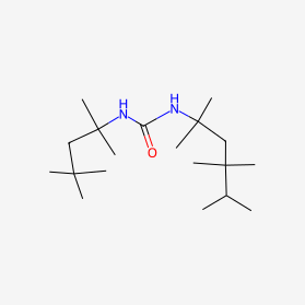 CC(C)C(C)(C)CC(C)(C)NC(=O)NC(C)(C)CC(C)(C)C